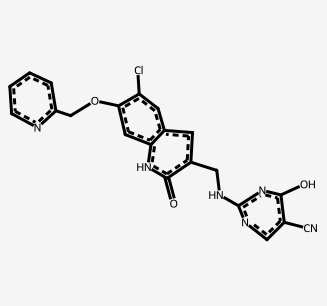 N#Cc1cnc(NCc2cc3cc(Cl)c(OCc4ccccn4)cc3[nH]c2=O)nc1O